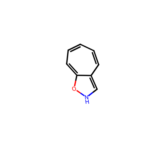 C1=CC=C2ONC=C2C=C1